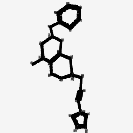 CN1CN(Cc2ccccc2)CC2=C1CCN(CC#Cn1cnnc1)C2